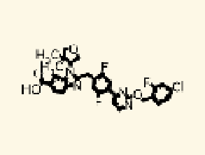 CC1(C)COCC1n1c(Cc2cc(F)c(-c3ccnc(OCc4ccc(Cl)cc4F)n3)cc2F)nc2ccc(C(=O)O)cc21